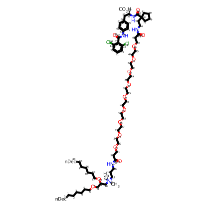 CCCCCCCCCCCCCCCCOCC(C[N+](C)(C)CCCNC(=O)CCOCCOCCOCCOCCOCCOCCOCCOCCOCCC(=O)NCCC1(C(=O)N[C@@H](Cc2ccc(NC(=O)c3c(Cl)cccc3Cl)cc2)C(=O)O)CCCC1)OCCCCCCCCCCCCCCCC